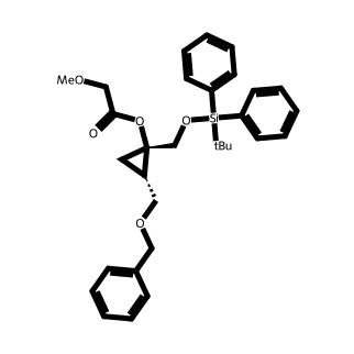 COCC(=O)O[C@@]1(CO[Si](c2ccccc2)(c2ccccc2)C(C)(C)C)C[C@H]1COCc1ccccc1